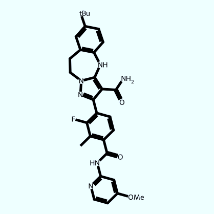 COc1ccnc(NC(=O)c2ccc(-c3nn4c(c3C(N)=O)Nc3ccc(C(C)(C)C)cc3CC4)c(F)c2C)c1